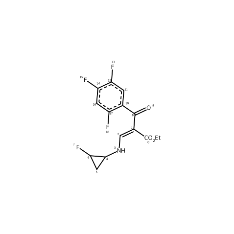 CCOC(=O)C(=CNC1CC1F)C(=O)c1cc(F)c(F)cc1F